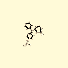 CCP(CC)CC.[Ir].[Pd].c1ccc(P(c2ccccc2)c2ccccc2)cc1